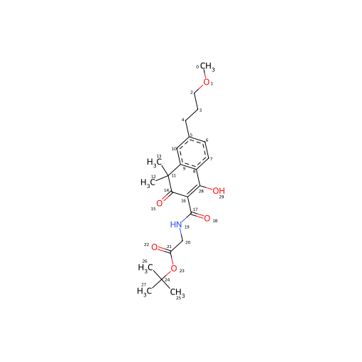 COCCCc1ccc2c(c1)C(C)(C)C(=O)C(C(=O)NCC(=O)OC(C)(C)C)=C2O